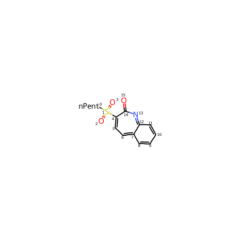 CCCCCS(=O)(=O)c1ccc2ccccc2nc1=O